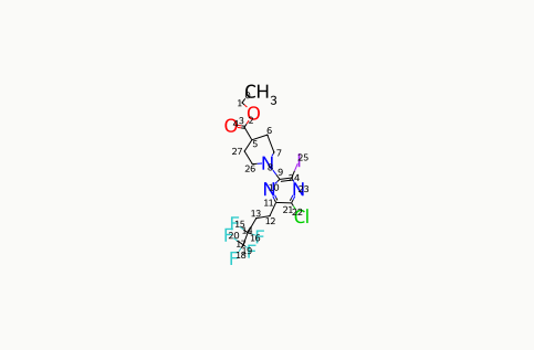 CCOC(=O)C1CCN(c2nc(CCC(F)(F)C(F)(F)F)c(Cl)nc2I)CC1